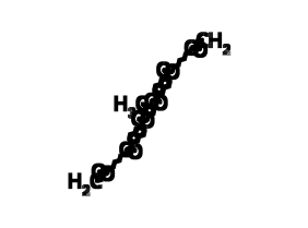 C=CC(=O)OCCCCCCOC(=O)c1ccc2cc(C(=O)Oc3ccc(OC(=O)c4ccc5cc(C(=O)OCCCCCCOC(=O)C=C)ccc5c4)c(C)c3)ccc2c1